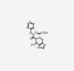 COC(=O)[C@@H]1Cc2nc[nH]c2C(C(C)C)N1C(=O)OCc1ccccc1